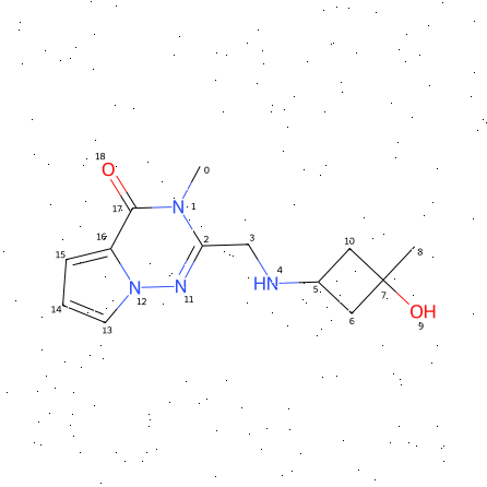 Cn1c(CNC2CC(C)(O)C2)nn2cccc2c1=O